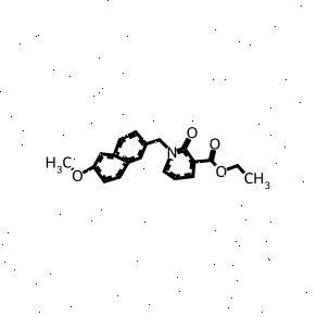 CCOC(=O)c1cccn(Cc2ccc3cc(OC)ccc3c2)c1=O